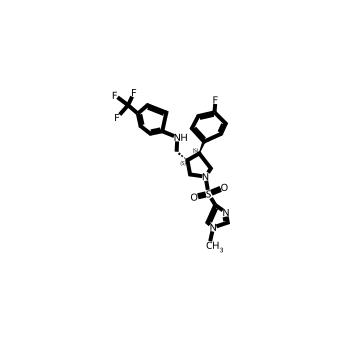 Cn1cnc(S(=O)(=O)N2C[C@H](CNc3ccc(C(F)(F)F)cc3)[C@@H](c3ccc(F)cc3)C2)c1